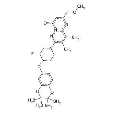 BC1(B)Oc2ccc(O[C@H]3CCN(c4nn5c(=O)cc(COC)nc5c(C)c4C)C[C@H]3F)cc2OC1(B)B